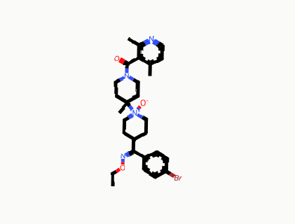 CCO/N=C(\c1ccc(Br)cc1)C1CC[N+]([O-])(C2(C)CCN(C(=O)c3c(C)ccnc3C)CC2)CC1